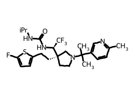 Cc1ccc(C(C)(C)N2CC[C@@](CCc3ccc(F)s3)([C@@H](NC(=O)NC(C)C)C(F)(F)F)C2)cn1